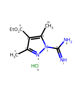 CCOC(=O)c1c(C)nn(C(=N)N)c1C.Cl